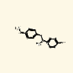 CSc1ccc(CN(N)c2ccc(F)cc2)cc1